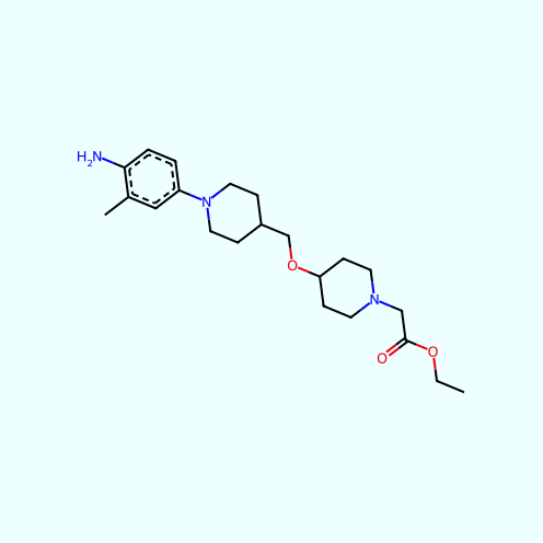 CCOC(=O)CN1CCC(OCC2CCN(c3ccc(N)c(C)c3)CC2)CC1